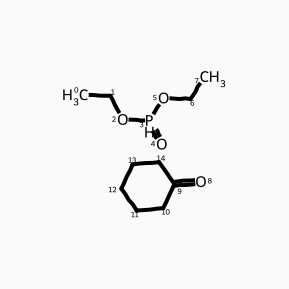 CCO[PH](=O)OCC.O=C1CCCCC1